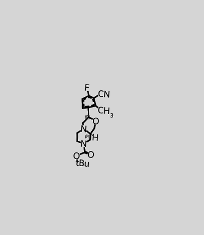 Cc1c([C@@H]2CN3CCN(C(=O)OC(C)(C)C)C[C@@H]3CO2)ccc(F)c1C#N